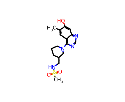 Cc1cc2c(N3CCCC(CNS(C)(=O)=O)C3)ncnc2cc1O